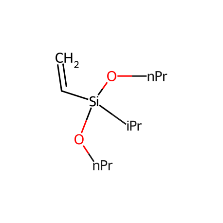 C=C[Si](OCCC)(OCCC)C(C)C